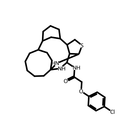 O=C(COc1ccc(Cl)cc1)NC1NC23CCCCCC(CC2)C2CCCC(C2)C2CSC(N3)C12